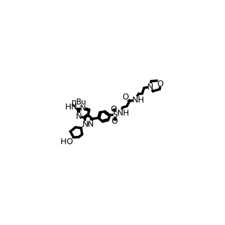 CCCCNc1ncc2c(-c3ccc(S(=O)(=O)NCCC(=O)NCCCN4CCOCC4)cc3)nn([C@H]3CC[C@@H](O)CC3)c2n1